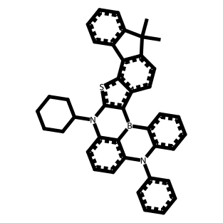 CC1(C)c2ccccc2-c2c1ccc1c3c(sc21)N(C1CCCCC1)c1cccc2c1B3c1ccccc1N2c1ccccc1